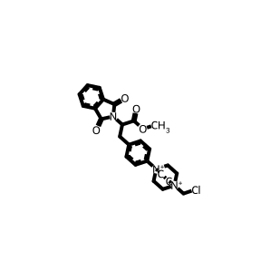 COC(=O)C(Cc1ccc([N+]23CC[N+](CCl)(CC2)CC3)cc1)N1C(=O)c2ccccc2C1=O